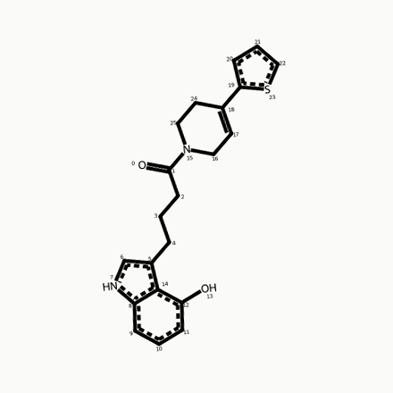 O=C(CCCc1c[nH]c2cccc(O)c12)N1CC=C(c2cccs2)CC1